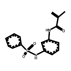 C=C(C)C(=O)Nc1cccc(NS(=O)(=O)c2ccccc2)c1